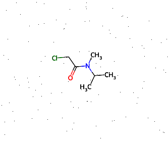 CC(C)N(C)C(=O)CCl